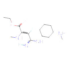 CCOC(=O)/C(NC)=C(F)/C(=N\F)N[C@@H]1CCC[C@H](NC)C1